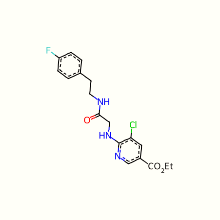 CCOC(=O)c1cnc(NCC(=O)NCCc2ccc(F)cc2)c(Cl)c1